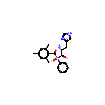 Cc1cc(C)c(C(=O)P(=O)(C(=O)[C@@H](N)Cc2c[nH]cn2)c2ccccc2)c(C)c1